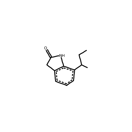 CCC(C)c1cccc2c1NC(=O)C2